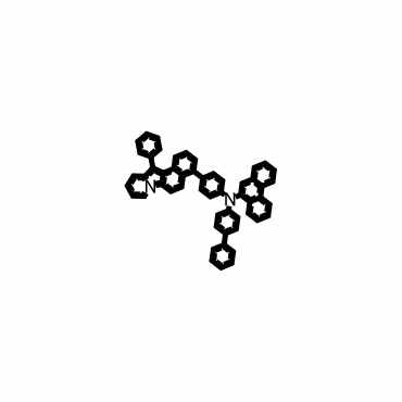 c1ccc(-c2ccc(N(c3ccc(-c4cccc5c4ccc4c5c(-c5ccccc5)c5ccccn54)cc3)c3cc4ccccc4c4ccccc34)cc2)cc1